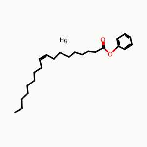 CCCCCCCC/C=C\CCCCCCCC(=O)Oc1ccccc1.[Hg]